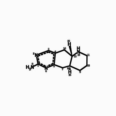 Nc1ncc2c(n1)C[C@@H]1CCCN[C@H]1C2